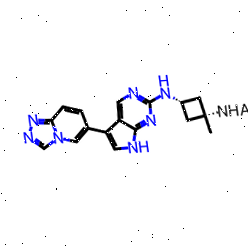 CC(=O)N[C@]1(C)C[C@H](Nc2ncc3c(-c4ccc5nncn5c4)c[nH]c3n2)C1